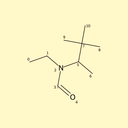 CCN([C]=O)C(C)C(C)(C)C